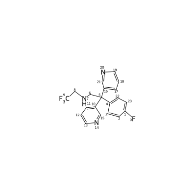 Fc1ccc(C(CNCC(F)(F)F)(c2cccnc2)c2cccnc2)cc1